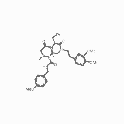 COc1ccc(CNC(=O)N2[C@H]3CN(CCc4ccc(OC)c(OC)c4)C(=O)[C@H](CC(C)C)N3C(=O)CN2C)cc1